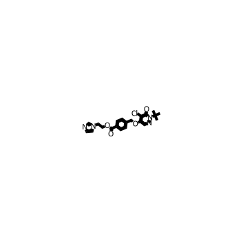 CC(C)(C)n1ncc(OCc2ccc(C(=O)OCCn3ccnc3)cc2)c(Cl)c1=O